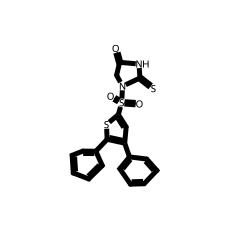 O=C1CN(S(=O)(=O)c2cc(-c3ccccc3)c(-c3ccccc3)s2)C(=S)N1